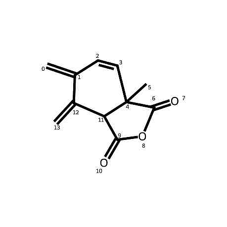 C=C1C=CC2(C)C(=O)OC(=O)C2C1=C